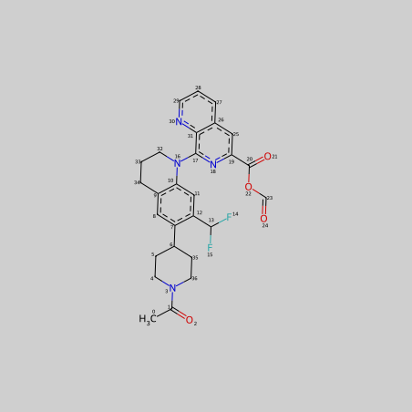 CC(=O)N1CCC(c2cc3c(cc2C(F)F)N(c2nc(C(=O)OC=O)cc4cccnc24)CCC3)CC1